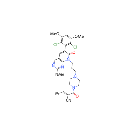 CNc1ncc2cc(-c3c(Cl)c(OC)cc(OC)c3Cl)c(=O)n(CCCN3CCN(C(=O)C(C#N)=CC(C)C)CC3)c2n1